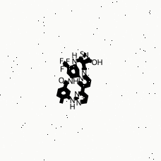 Cc1ccc(C(=O)Nc2ccc(Nc3snc(O)c3C#N)c(C(F)(F)F)c2)cc1Nc1nccc(-c2cccnc2)n1